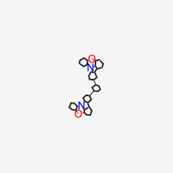 c1cc(-c2ccc3c(c2)c2cccc4c2n3-c2ccccc2O4)cc(-c2ccc3c(c2)c2cccc4c2n3-c2ccccc2O4)c1